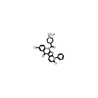 O=C(c1cccc(Cl)c1)c1c(NC(=O)C2CCN(C(=O)O)CC2)sc2c1ccc(=O)n2-c1ccccc1